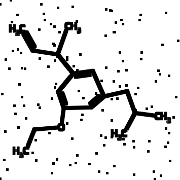 C=C[C](C)c1cc(CC(C)C)cc(OCC)c1